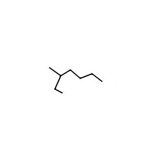 [2H]CC(CC)CCCCCCCC